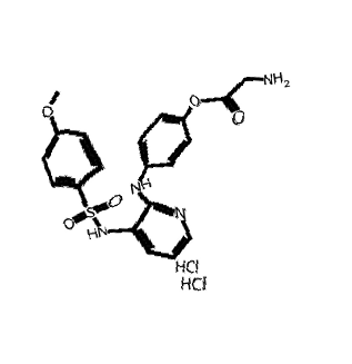 COc1ccc(S(=O)(=O)Nc2cccnc2Nc2ccc(OC(=O)CN)cc2)cc1.Cl.Cl